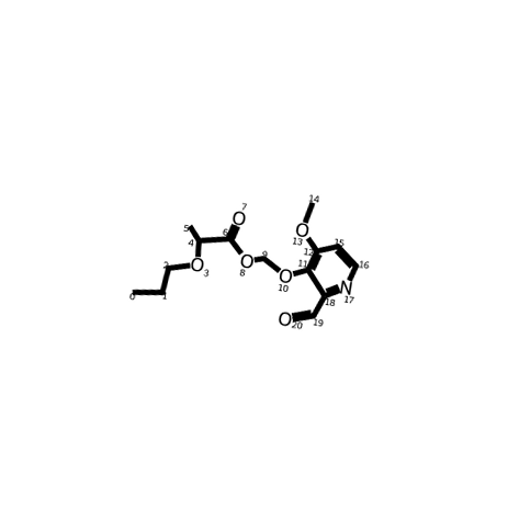 CCCOC(C)C(=O)OCOc1c(OC)ccnc1C=O